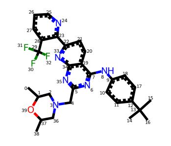 CC1CN(Cc2nc(Nc3ccc(C(C)(C)C)cc3)c3ccc(-c4ncccc4C(F)(F)F)nc3n2)CC(C)O1